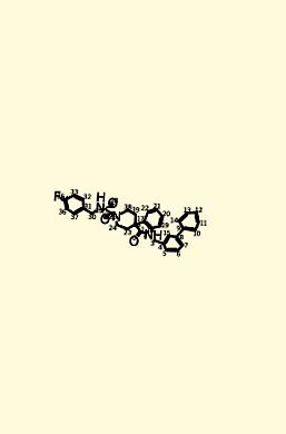 O=C(NCc1cccc(-c2ccccc2)c1)C1(c2ccccc2)CCN(S(=O)(=O)NCc2ccc(F)cc2)CC1